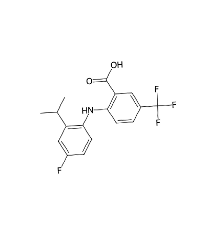 CC(C)c1cc(F)ccc1Nc1ccc(C(F)(F)F)cc1C(=O)O